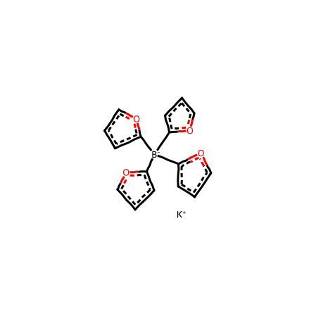 [K+].c1coc([B-](c2ccco2)(c2ccco2)c2ccco2)c1